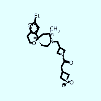 CCc1cc2c(s1)CCO[C@@]21CCN(CC2CN(C(=O)CC3CS(=O)(=O)C3)C2)[C@@H](C)C1